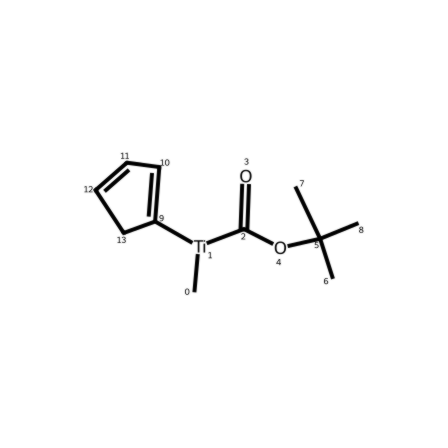 [CH3][Ti]([C](=O)OC(C)(C)C)[C]1=CC=CC1